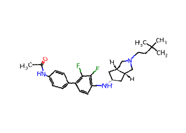 CC(=O)Nc1ccc(-c2ccc(N[C@@H]3C[C@@H]4CN(CCC(C)(C)C)C[C@@H]4C3)c(F)c2F)cc1